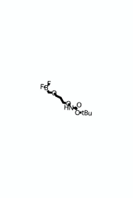 CC(C)(C)OC(=O)NOCCCOCB(F)F